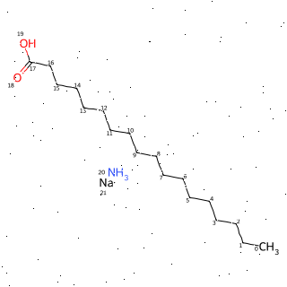 CCCCCCCCCCCCCCCCCC(=O)O.N.[Na]